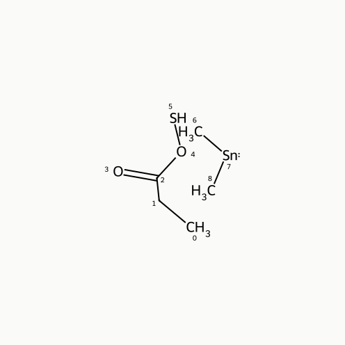 CCC(=O)OS.[CH3][Sn][CH3]